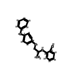 CC(COc1ccc(Oc2ccccc2)cc1)Oc1ncccc1Cl